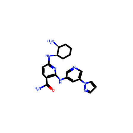 NC(=O)c1ccc(N[C@@H]2CCCC[C@@H]2N)nc1Nc1cncc(-n2cccn2)c1